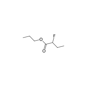 CCCOC(=O)C(F)CC